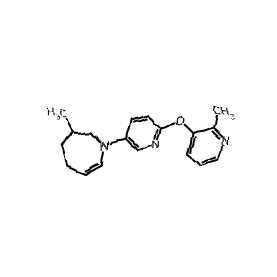 Cc1ncccc1Oc1ccc(N2C=CCCC(C)C2)cn1